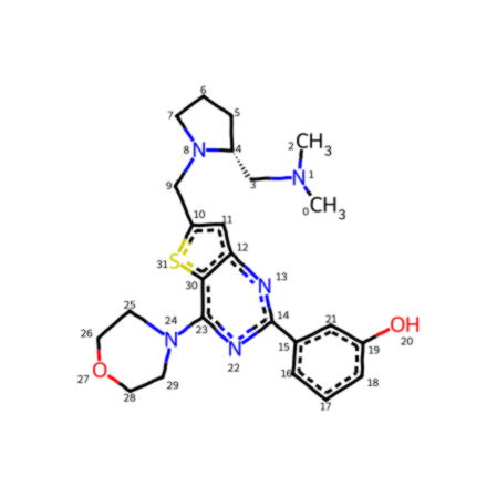 CN(C)C[C@H]1CCCN1Cc1cc2nc(-c3cccc(O)c3)nc(N3CCOCC3)c2s1